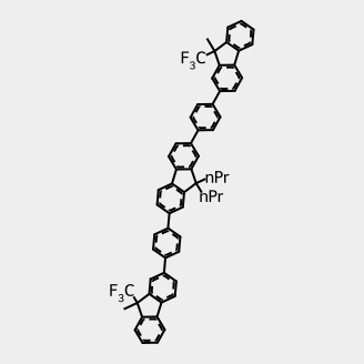 CCCC1(CCC)c2cc(-c3ccc(-c4ccc5c(c4)C(C)(C(F)(F)F)c4ccccc4-5)cc3)ccc2-c2ccc(-c3ccc(-c4ccc5c(c4)C(C)(C(F)(F)F)c4ccccc4-5)cc3)cc21